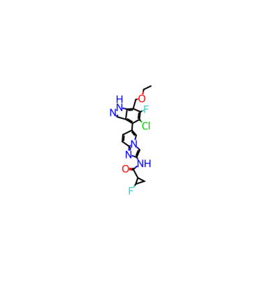 CCOCc1c(F)c(Cl)c(-c2ccc3nc(NC(=O)C4CC4F)cn3c2)c2cn[nH]c12